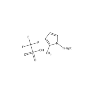 CCCCCCCn1cccc1C.O=S(=O)(O)C(F)(F)F